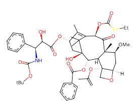 C=C(C)O[C@@]12CO[C@@H]1C[C@H](OC)[C@@]1(C)C(=O)[C@H](OC(=O)SCC)C3=C(C)[C@@H](OC(=O)[C@H](O)[C@@H](NC(=O)OC(C)(C)C)c4ccccc4)C[C@@](O)([C@@H](OC(=O)c4ccccc4)[C@H]21)C3(C)C